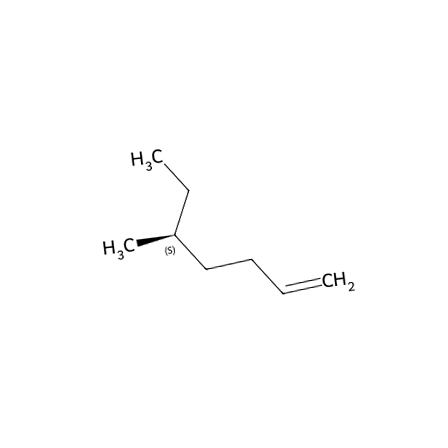 C=CCC[C@@H](C)CC